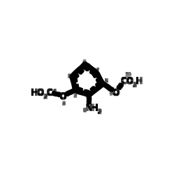 Nc1c(OC(=O)O)cccc1OC(=O)O